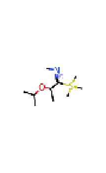 C/N=C(\C(C)OC(C)C)S(C)(C)C